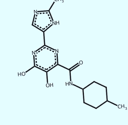 Cc1ncc(-c2nc(O)c(O)c(C(=O)NC3CCC(C)CC3)n2)[nH]1